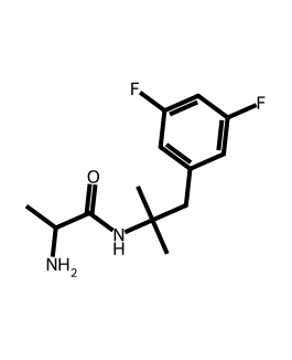 CC(N)C(=O)NC(C)(C)Cc1cc(F)cc(F)c1